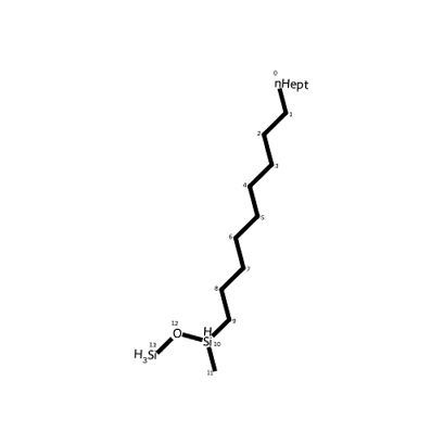 CCCCCCCCCCCCCCCC[SiH](C)O[SiH3]